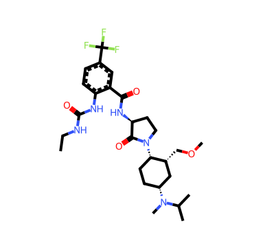 CCNC(=O)Nc1ccc(C(F)(F)F)cc1C(=O)N[C@H]1CCN([C@H]2CC[C@@H](N(C)C(C)C)C[C@H]2COC)C1=O